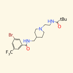 CC(C)(C)C(=O)NCCN1CCC(CNC(=O)c2cc(Br)cc(C(F)(F)F)c2)CC1